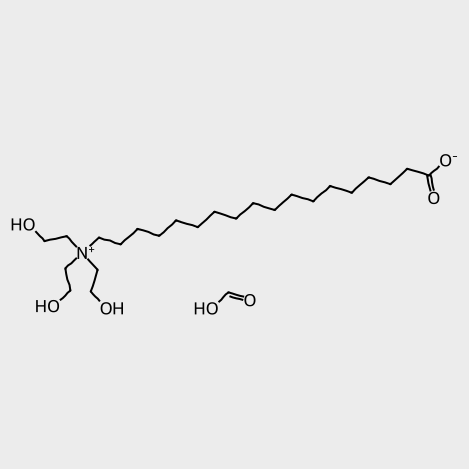 O=C([O-])CCCCCCCCCCCCCCCCC[N+](CCO)(CCO)CCO.O=CO